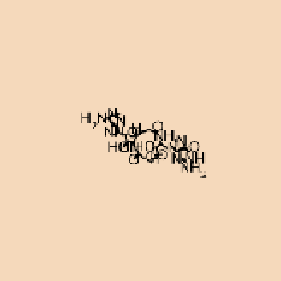 Nc1nc2c(ncn2[C@@H]2O[C@@H]3CCC(=O)NC4C(O)[C@H](n5cnc6c(N)ncnc65)O[C@@H]4CCC(=O)NC2C3O)c(=O)[nH]1